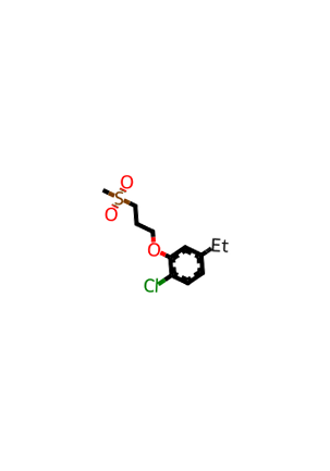 CCc1ccc(Cl)c(OCCCS(C)(=O)=O)c1